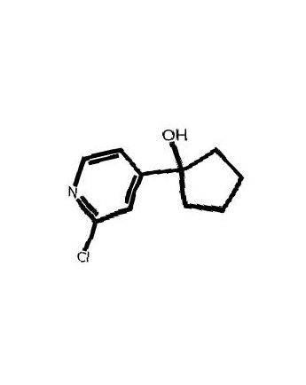 OC1(c2ccnc(Cl)c2)CCCC1